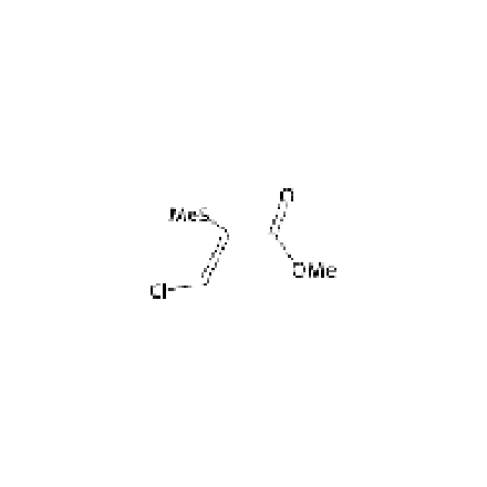 COC(=O)/C(=C/Cl)SC